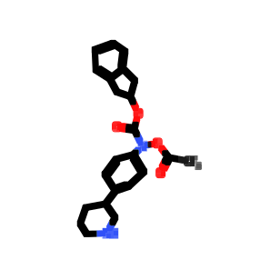 O=C(OC1Cc2ccccc2C1)N(OC(=O)C(F)(F)F)c1ccc(C2CCCNC2)cc1